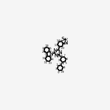 c1ccc(-c2cccc(-c3nc(-c4ccc5scnc5c4)nc(-n4c5ccccc5c5ccccc54)n3)c2)cc1